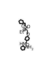 CCON(CCOc1ccc(C(=O)Nc2ccccc2N)cc1)C(=O)c1cc2ccccc2o1